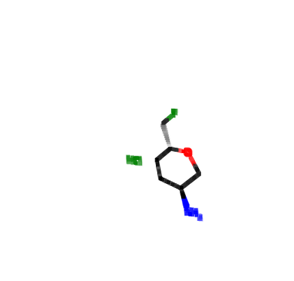 Cl.N[C@H]1CC[C@H](CF)OC1